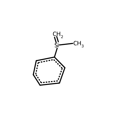 C=[Si](C)c1ccccc1